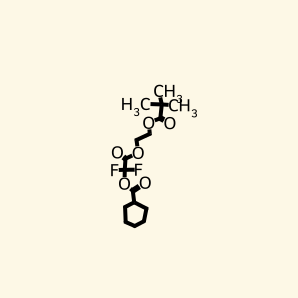 CC(C)(C)C(=O)OCCOC(=O)C(F)(F)OC(=O)C1CCCCC1